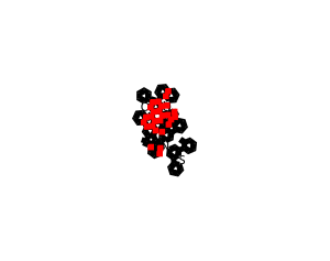 C=C1CC=CC=C1c1cc(N(c2ccccc2)c2ccc3c(c2)-c2ccccc2C32c3cccc(N(C4=CC5(C)c6ccccc6OC5C(c5ccccc5)=C4)c4ccccc4)c3Sc3c(N(c4ccccc4-c4ccc5c(c4)C(C)(C)c4ccccc4-5)c4ccc(-c5ccccc5)c5oc6ccccc6c45)cccc32)cc2c1sc1ccccc12